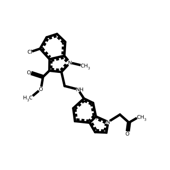 COC(=O)c1c(CNc2ccc3ccn(CC(C)=O)c3c2)n(C)c2cccc(Cl)c12